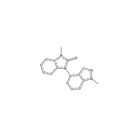 Cn1ncc2c(-n3c(=O)n(C)c4ccccc43)cccc21